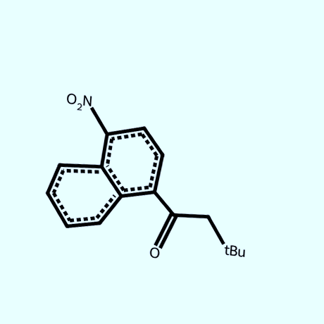 CC(C)(C)CC(=O)c1ccc([N+](=O)[O-])c2ccccc12